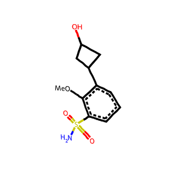 COc1c(C2CC(O)C2)cccc1S(N)(=O)=O